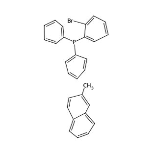 Brc1ccccc1P(c1ccccc1)c1ccccc1.Cc1ccc2ccccc2c1